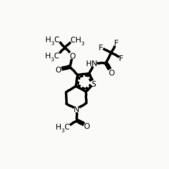 CC(=O)N1CCc2c(sc(NC(=O)C(F)(F)F)c2C(=O)OC(C)(C)C)C1